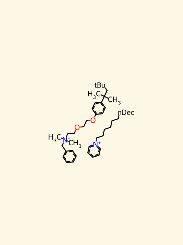 CC(C)(C)CC(C)(C)c1ccc(OCCOCC[N+](C)(C)Cc2ccccc2)cc1.CCCCCCCCCCCCCCCC[n+]1ccccc1